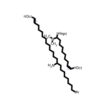 CCCCCCCC/C=C/CCCCCCCCCCCC(N)CCCCCCCCC(C)C.CCCCCCCC/C=C\CCCCCCCC(CCCCCCC)N(C)C